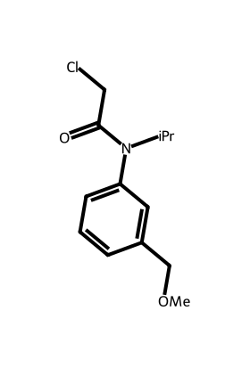 COCc1cccc(N(C(=O)CCl)C(C)C)c1